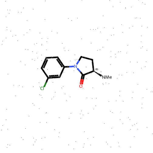 CN[C@@H]1CCN(c2cccc(Cl)c2)C1=O